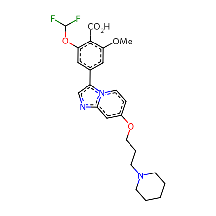 COc1cc(-c2cnc3cc(OCCCN4CCCCC4)ccn23)cc(OC(F)F)c1C(=O)O